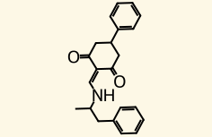 CC(Cc1ccccc1)NC=C1C(=O)CC(c2ccccc2)CC1=O